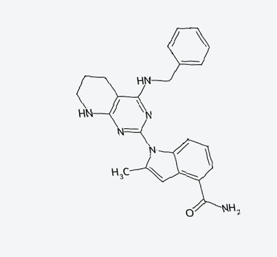 Cc1cc2c(C(N)=O)cccc2n1-c1nc2c(c(NCc3ccccc3)n1)CCCN2